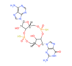 Nc1nc2c(ncn2[C@@H]2O[C@@H]3COP(=O)(S)OC4[C@@H](COP(=O)(S)OC2C3O)O[C@@H](n2cnc3c(N)ncnc32)[C@H]4O)c(=O)[nH]1